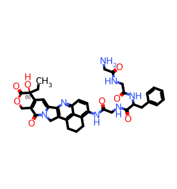 CC[C@@]1(O)C(=O)OCc2c1cc1n(c2=O)Cc2c-1nc1ccc(NC(=O)CNC(=O)C(Cc3ccccc3)NC(=O)CNC(=O)CN)c3c1c2CCC3